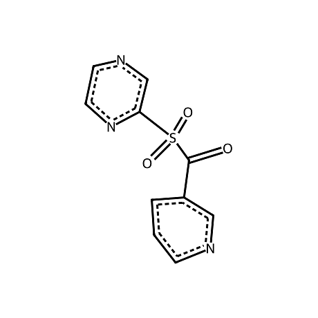 O=C(c1cccnc1)S(=O)(=O)c1cnccn1